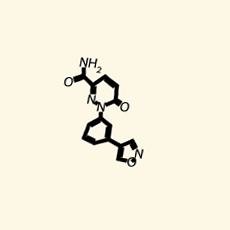 NC(=O)c1ccc(=O)n(-c2cccc(-c3cnoc3)c2)n1